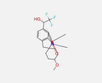 COC1CCC2(CC1)Cc1ccc(C(O)C(F)(F)F)cc1C21N=C(C)N(C)C1=O